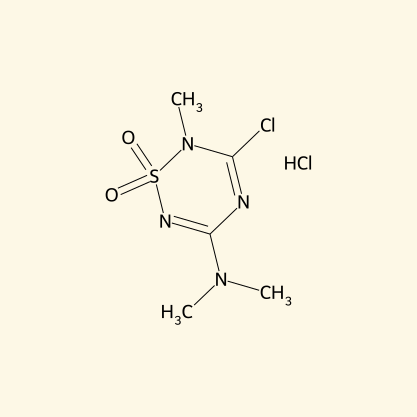 CN(C)C1=NS(=O)(=O)N(C)C(Cl)=N1.Cl